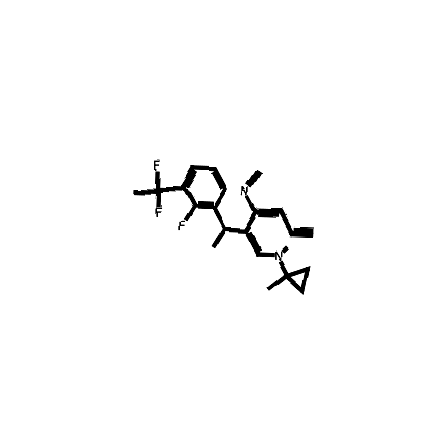 C=C/C=C(N=C)\C(=C/N(C)C1(C)CC1)C(C)c1cccc(C(C)(F)F)c1F